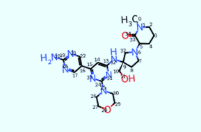 CN1CCCC(N2CC[C@](CO)(Nc3cc(-c4cnc(N)nc4)nc(N4CCOCC4)n3)C2)C1=O